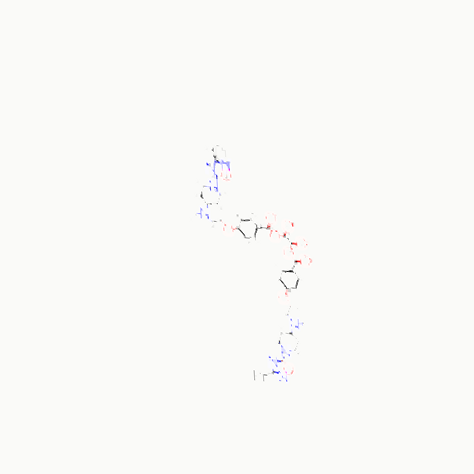 CC(C)c1noc(N2CCC(N(C)CCOc3ccc(C(=O)OC(=O)C(=O)OC(=O)c4ccc(OCCN(C)C5CCN(c6nc(C(C)C)no6)CC5)cc4)cc3)CC2)n1